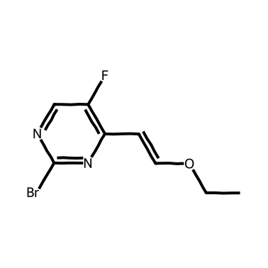 CCOC=Cc1nc(Br)ncc1F